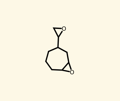 C1CC(C2CO2)CC2OC2C1